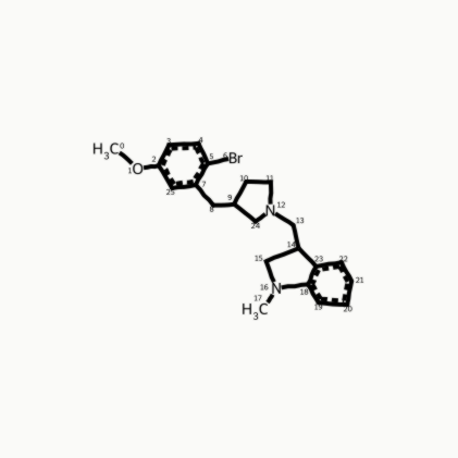 COc1ccc(Br)c(CC2CCN(CC3CN(C)c4ccccc43)C2)c1